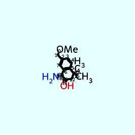 COCc1ccc2c(c1)[C@@H](N)[C@H](O)CC2(C)C